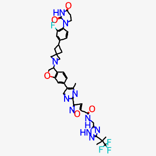 Cc1nc(-c2cc(C(=O)NCc3nc(C(C)(C)C(F)(F)F)n[nH]3)on2)ncc1-c1ccc2c(c1)OCC2N1CC2(CC(c3ccc(N4CCC(=O)NC4=O)c(F)c3)C2)C1